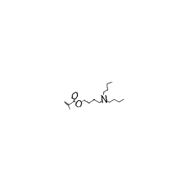 C=C(C)C(=O)OCCCCN(CCCC)CCCC